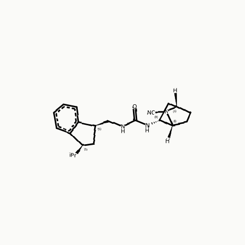 CC(C)[C@@H]1C[C@H](CNC(=O)N[C@@H]2C[C@@H]3CC[C@H]2N3C#N)c2ccccc21